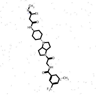 CC/C(CC(=O)N[C@H]1CC[C@H](N2CCC3C2CCN3C(=O)CNC(=O)C2=CC(C(F)(F)F)=C[C@@H](C)C2)CC1)=N\C